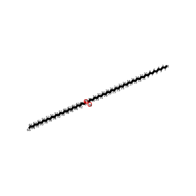 CCCCCCCCCCCCCCCCCCCCCCCCCCCCCCCCCCCCCC(=O)OCCCCCCCCCCCCCCCCCCCCCCCCCCC